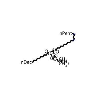 CCCCC/C=C\C/C=C\CCCCCCCCCC(=O)O[C@H](COC(=O)CCCCCCCCCCCCCCCCCCC)COP(=O)([O-])OCC[N+](C)(C)C